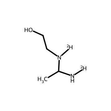 [2H]NC(C)N([2H])CCO